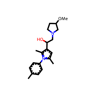 COC1CCN(CC(O)c2cc(C)n(-c3ccc(C)cc3)c2C)C1